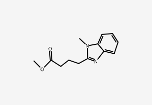 COC(=O)CCCc1nc2ccccc2n1C